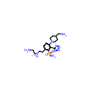 C[C@H](CN)NCCc1ccc(N2CCC(CN)CC2)c(-c2nnn[nH]2)c1S(N)(=O)=O